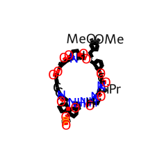 COc1ccc(CC[C@H]2OC(=O)[C@@H]3CCCCN3C(=O)C(=O)C(C)(C)COC(=O)/C=C\CCN(C)C(=O)[C@@H](c3ccccc3)NC(=O)[C@H](Cc3ccc(OP(C)(C)=O)cc3)NC(=O)[C@H]3CCCN3C(=O)[C@H](CC(C)C)N(C)C(=O)COc3cccc2c3)cc1OC